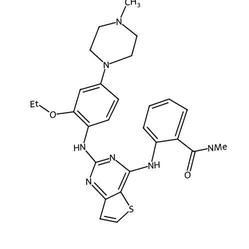 CCOc1cc(N2CCN(C)CC2)ccc1Nc1nc(Nc2ccccc2C(=O)NC)c2sccc2n1